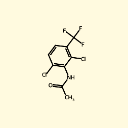 CC(=O)Nc1c(Cl)ccc(C(F)(F)F)c1Cl